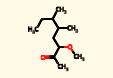 CCC(C)C(C)CC(OC)C(C)=O